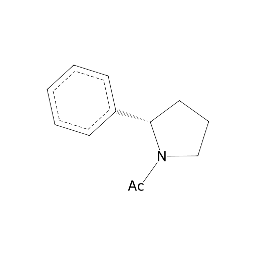 CC(=O)N1CCC[C@H]1c1ccccc1